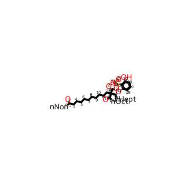 CCCCCCCCCC(=O)CCCCCCCCCCC(C(=O)CCCCCCC)(C(=O)CCCCCCCC)C(=O)OS(=O)(=O)c1ccccc1O